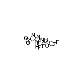 Cc1c([C@H](Nc2nc3ncc(S(C)(=O)=O)cc3[nH]2)C(F)(F)F)oc2ccc(F)cc12